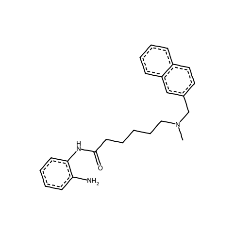 CN(CCCCCC(=O)Nc1ccccc1N)Cc1ccc2ccccc2c1